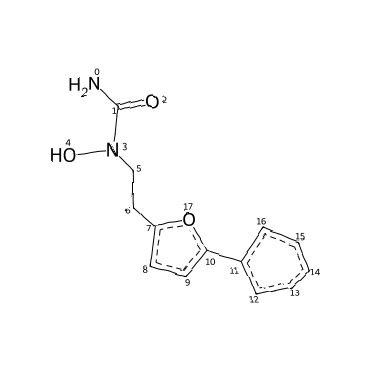 NC(=O)N(O)CCc1ccc(-c2ccccc2)o1